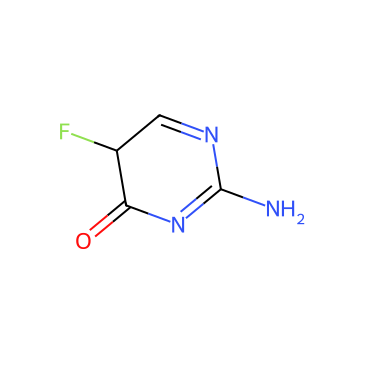 NC1=NC(=O)C(F)C=N1